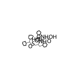 O=C(O)CC[C@@](NC(=O)C(CSC(=O)C(c1ccccc1)c1ccccc1)Cc1ccccc1)(Nc1ccccc1)C(=O)O